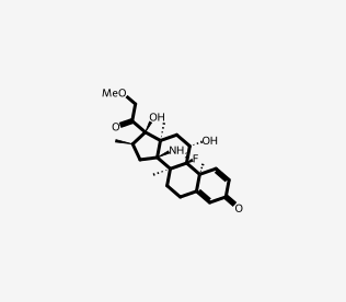 COCC(=O)[C@@]1(O)[C@H](C)C[C@@]2(N)[C@]3(C)CCC4=CC(=O)C=C[C@]4(C)[C@@]3(F)[C@@H](O)C[C@@]21C